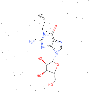 C=CCn1c(N)nc2c(ncn2[C@@H]2O[C@H](CO)[C@@H](O)[C@H]2O)c1=O